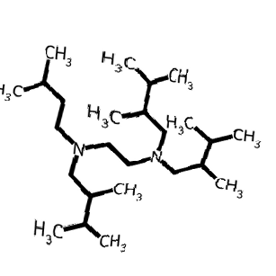 CC(C)CCN(CCN(CC(C)C(C)C)CC(C)C(C)C)CC(C)C(C)C